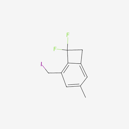 Cc1cc(CI)c2c(c1)CC2(F)F